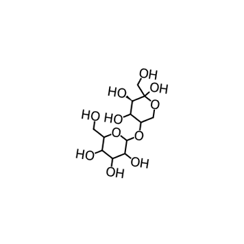 OCC1OC(OC2COC(O)(CO)[C@H](O)C2O)C(O)C(O)C1O